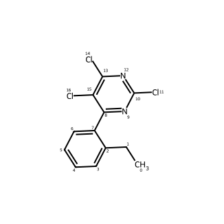 CCc1ccccc1-c1nc(Cl)nc(Cl)c1Cl